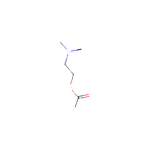 CN(C)CCOC(=O)C=O